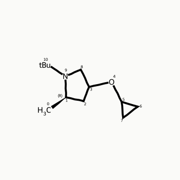 C[C@@H]1CC(OC2CC2)CN1C(C)(C)C